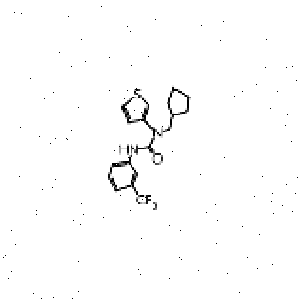 O=C(Nc1cccc(C(F)(F)F)c1)N(CC1CCCC1)c1ccsc1